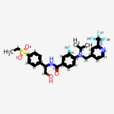 CCS(=O)(=O)c1ccc(C(CO)NC(=O)c2ccc(N(Cc3ccnc(C(F)(F)F)c3)C(C)C)c(F)c2)cc1